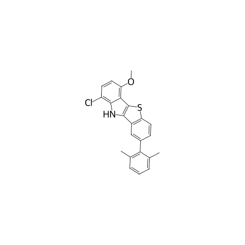 COc1ccc(Cl)c2[nH]c3c4cc(-c5c(C)cccc5C)ccc4sc3c12